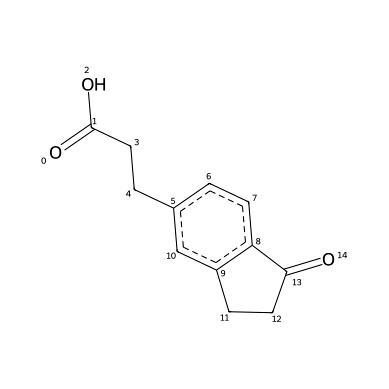 O=C(O)CCc1ccc2c(c1)CCC2=O